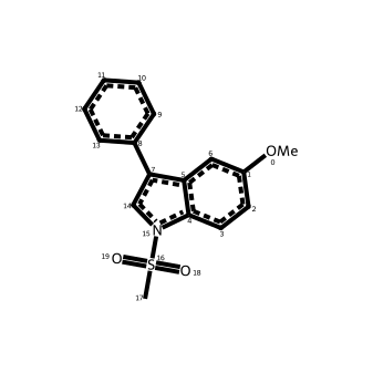 COc1ccc2c(c1)c(-c1ccccc1)cn2S(C)(=O)=O